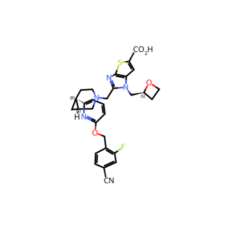 N#Cc1ccc(COc2cccc([C@]34CCN(Cc5nc6sc(C(=O)O)cc6n5C[C@@H]5CCO5)C[C@H]3C4)n2)c(F)c1